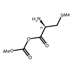 COC(=O)OC(=O)[C@@H](N)CSC